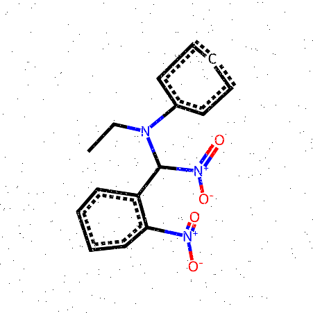 CCN(c1ccccc1)C(c1ccccc1[N+](=O)[O-])[N+](=O)[O-]